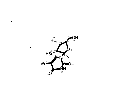 CC(C)c1cn([C@]2(C)O[C@H](CO)[C@@H](O)[C@H]2[SeH])c(=O)[nH]c1=O